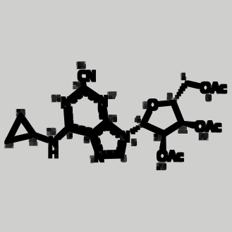 CC(=O)OC[C@H]1O[C@@H](n2cnc3c(NC4CC4)nc(C#N)nc32)[C@H](OC(C)=O)[C@@H]1OC(C)=O